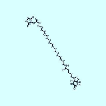 O=C(CCCC[C@H]1SC[C@H]2NC(=O)N[C@H]21)NCCOCCOCCOCCOCCOCCOCCC(=O)ON1C(=O)CCC1=O